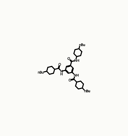 CCCCC1CCC(NC(=O)c2cc(NC(=O)C3CCC(CCCC)CC3)cc(NC(=O)C3CCC(CCCC)CC3)c2)CC1